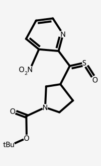 CC(C)(C)OC(=O)N1CCC(C(=S=O)c2ncccc2[N+](=O)[O-])C1